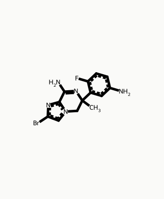 CC1(c2cc(N)ccc2F)Cn2cc(Br)nc2C(N)=N1